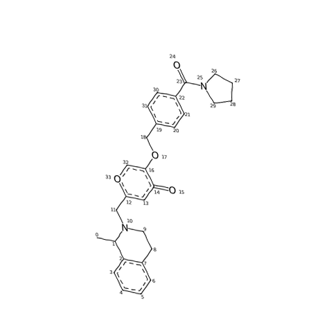 CC1c2ccccc2CCN1Cc1cc(=O)c(OCc2ccc(C(=O)N3CCCC3)cc2)co1